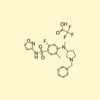 Cc1cc(S(=O)(=O)Nc2ccon2)c(F)cc1N(C)C1CCN(Cc2ccccc2)C1.O=C(O)C(F)(F)F